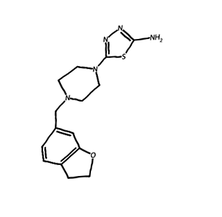 Nc1nnc(N2CCN(Cc3ccc4c(c3)OCC4)CC2)s1